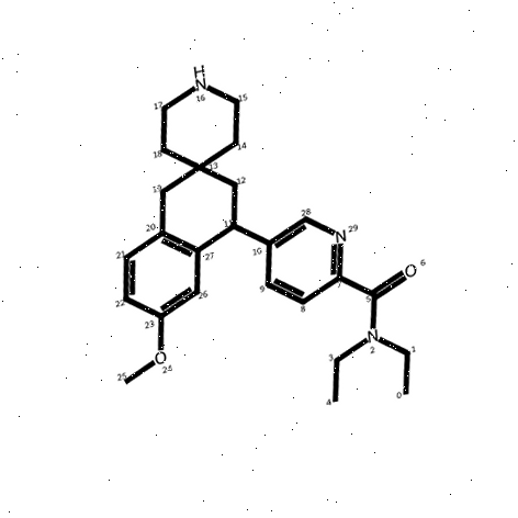 CCN(CC)C(=O)c1ccc(C2CC3(CCNCC3)Cc3ccc(OC)cc32)cn1